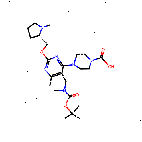 Cc1nc(OC[C@@H]2CCCN2C)nc(N2CCN(C(=O)O)CC2)c1CN(C)C(=O)OC(C)(C)C